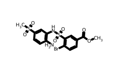 COC(=O)c1ccc(Br)c(S(=O)(=O)Nc2cc(S(C)(=O)=O)ccc2N)c1